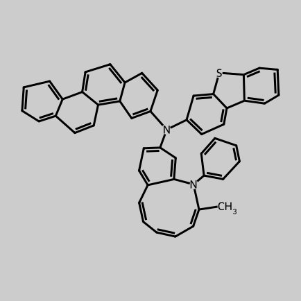 Cc1cccccc2ccc(N(c3ccc4c(c3)sc3ccccc34)c3ccc4ccc5c6ccccc6ccc5c4c3)cc2n1-c1ccccc1